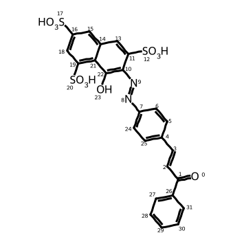 O=C(C=Cc1ccc(N=Nc2c(S(=O)(=O)O)cc3cc(S(=O)(=O)O)cc(S(=O)(=O)O)c3c2O)cc1)c1ccccc1